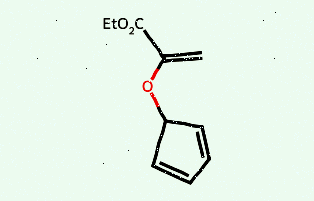 C=C(OC1C=CC=C1)C(=O)OCC